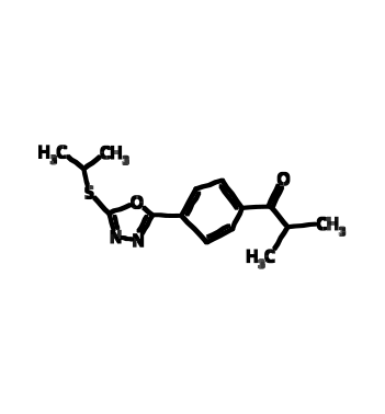 CC(C)Sc1nnc(-c2ccc(C(=O)C(C)C)cc2)o1